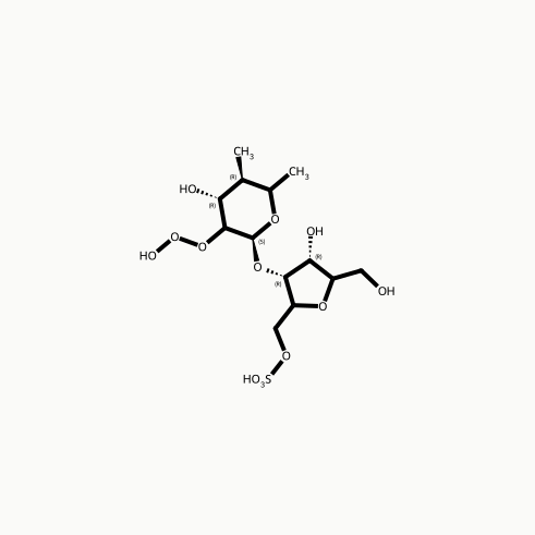 CC1O[C@@H](O[C@H]2C(COS(=O)(=O)O)OC(CO)[C@H]2O)C(OOO)[C@H](O)[C@H]1C